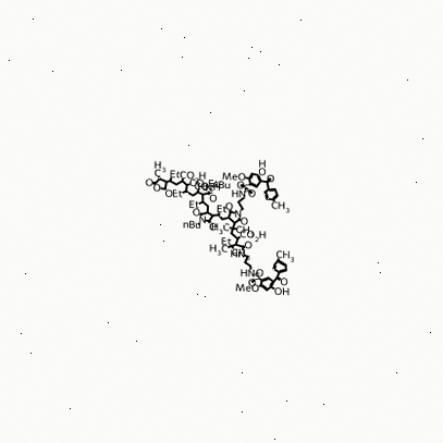 CCCCNC(=O)C(C(CC)CC1C(=O)N(CCCC)C(=O)C1C(CC)CC1C(=O)N(CCCNS(=O)(=O)c2cc(C(=O)c3ccc(C)cc3)c(O)cc2OC)C(=O)C1C(C)(C)CC(C(=O)O)C(C(=O)NCCCNS(=O)(=O)c1cc(C(=O)c2ccc(C)cc2)c(O)cc1OC)C(C)(C)CC)C(CC(CC)C(C(=O)OCC)C(CC(CC)C1C(=O)OC(=O)C1C)C(=O)O)C(=O)O